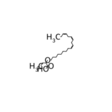 CC/C=C\C/C=C\C/C=C\CCCCCCCCOC(CC)C(=O)O